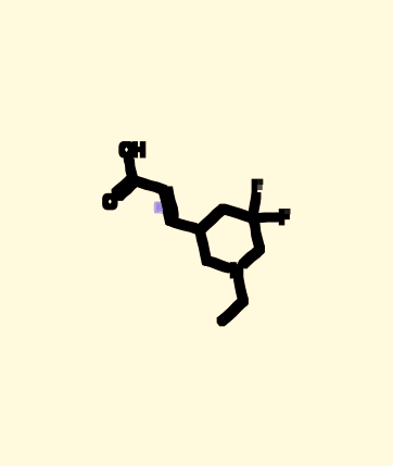 CCN1CC(/C=C/C(=O)O)CC(F)(F)C1